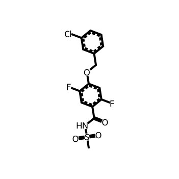 CS(=O)(=O)NC(=O)c1cc(F)c(OCc2cccc(Cl)c2)cc1F